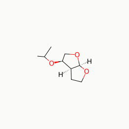 CC(C)O[C@H]1CO[C@H]2OCC[C@H]21